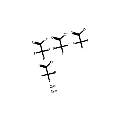 O=C([O-])C(F)(F)F.O=C([O-])C(F)(F)F.O=C([O-])C(F)(F)F.O=C([O-])C(F)(F)F.[Cr+2].[Cr+2]